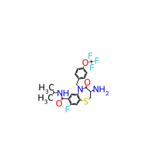 CC(C)NC(=O)c1cc2c(cc1F)SC[C@H](N)C(=O)N2Cc1ccc(OC(F)(F)F)cc1